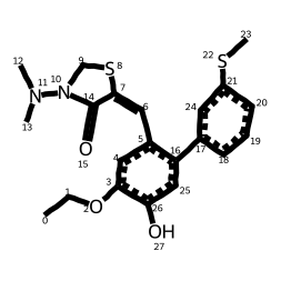 CCOc1cc(C=C2SCN(N(C)C)C2=O)c(-c2cccc(SC)c2)cc1O